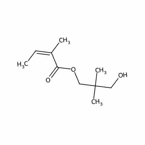 CC=C(C)C(=O)OCC(C)(C)CO